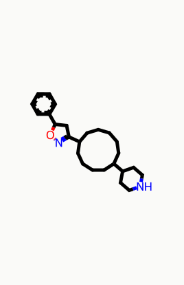 c1ccc(C2CC(C3CCCCCC(C4CCNCC4)CCCC3)=NO2)cc1